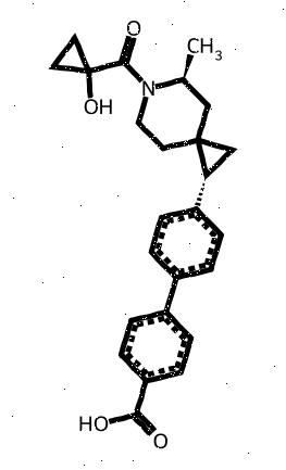 C[C@H]1CC2(CCN1C(=O)C1(O)CC1)C[C@@H]2c1ccc(-c2ccc(C(=O)O)cc2)cc1